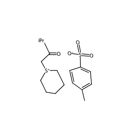 CC(C)C(=O)C[S+]1CCCCC1.Cc1ccc(S(=O)(=O)[O-])cc1